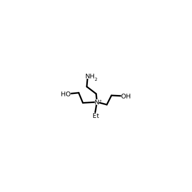 CC[N+](CCN)(CCO)CCO